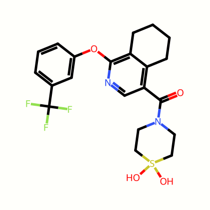 O=C(c1cnc(Oc2cccc(C(F)(F)F)c2)c2c1CCCC2)N1CCS(O)(O)CC1